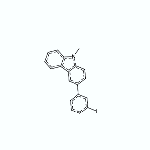 Cn1c2ccccc2c2cc(-c3cccc(I)c3)ccc21